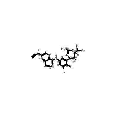 C#C[C@H](C)c1cnc2c(Nc3cc(F)c(F)c([C@@]4(C)N=C(N)S[C@](C)(C(F)F)[C@H]4C)c3)nccc2n1